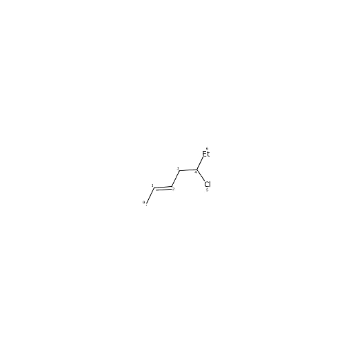 [CH2]C=CCC(Cl)CC